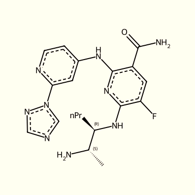 CCC[C@@H](Nc1nc(Nc2ccnc(-n3cncn3)c2)c(C(N)=O)cc1F)[C@H](C)N